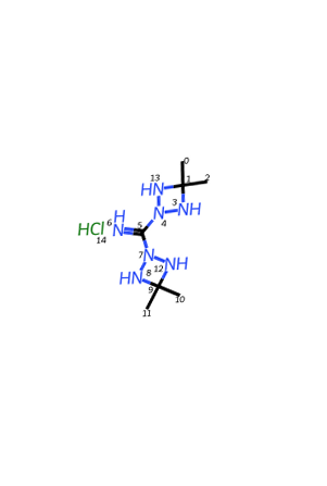 CC1(C)NN(C(=N)N2NC(C)(C)N2)N1.Cl